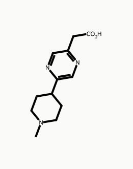 CN1CCC(c2cnc(CC(=O)O)cn2)CC1